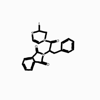 O=C(C(Cc1ccccc1)N1C(=O)c2ccccc2C1=O)N1C=CSC(I)C1